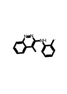 [CH2]c1ccccc1Nc1nnc2ccccc2c1C